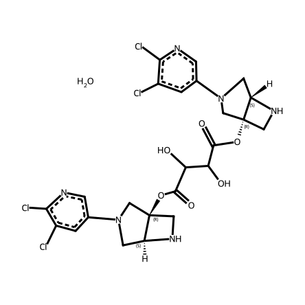 O.O=C(O[C@@]12CN[C@H]1CN(c1cnc(Cl)c(Cl)c1)C2)C(O)C(O)C(=O)O[C@@]12CN[C@H]1CN(c1cnc(Cl)c(Cl)c1)C2